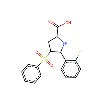 O=C(O)C1CC(S(=O)(=O)c2ccccc2)C(c2ccccc2F)N1